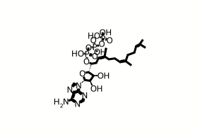 CC(C)=CCCC(C)=CCCC(C)=CCC(OP(=O)(O)OP(=O)(O)OP(=O)(O)O)[C@H]1O[C@@H](n2cnc3c(N)ncnc32)[C@H](O)[C@@H]1O